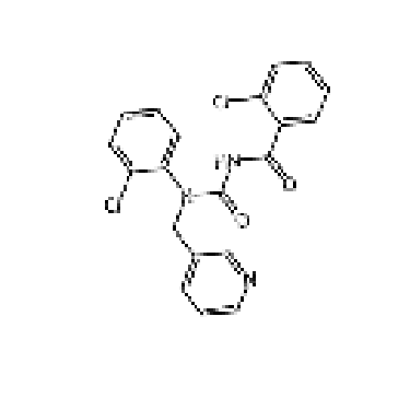 O=C(NC(=O)N(Cc1cccnc1)c1ccccc1Cl)c1ccccc1Cl